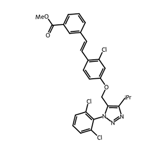 COC(=O)c1cccc(C=Cc2ccc(OCc3c(C(C)C)nnn3-c3c(Cl)cccc3Cl)cc2Cl)c1